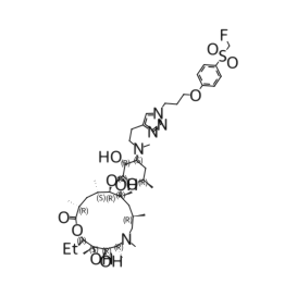 CC[C@H]1OC(=O)[C@H](C)C[C@H](C)[C@@H](O[C@@H]2O[C@H](C)C[C@H](N(C)CCc3cn(CCCOc4ccc(S(=O)(=O)CF)cc4)nn3)[C@H]2O)[C@](C)(O)C[C@@H](C)CN(C)[C@H](C)[C@@H](O)[C@]1(C)O